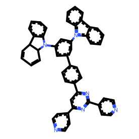 C1=CC2c3ccccc3N(c3cc(-c4ccc(-c5cc(-c6ccncc6)nc(-c6ccncc6)n5)cc4)cc(-n4c5ccccc5c5ccccc54)c3)C2C=C1